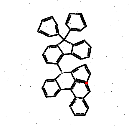 c1ccc(N(c2ccccc2-c2cccc3ccccc23)c2cccc3c2-c2ccccc2C3(c2ccccc2)c2ccccc2)cc1